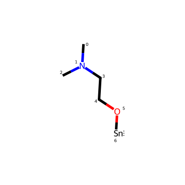 CN(C)CC[O][Sn]